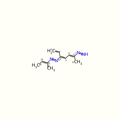 C=C/C(=C\C=C(/C)N=N)N=N/C(C)=C/C